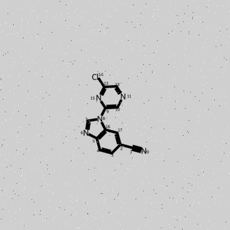 N#Cc1ccc2ncn(-c3cncc(Cl)n3)c2c1